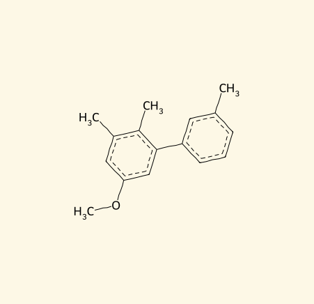 COc1cc(C)c(C)c(-c2cccc(C)c2)c1